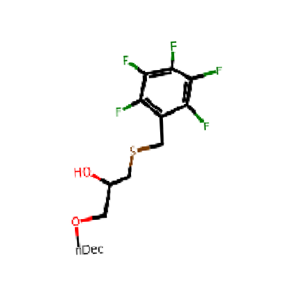 CCCCCCCCCCOCC(O)CSCc1c(F)c(F)c(F)c(F)c1F